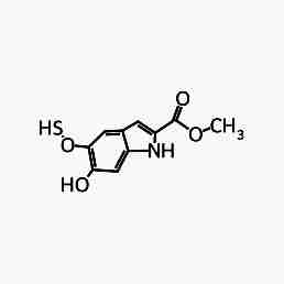 COC(=O)c1cc2cc(OS)c(O)cc2[nH]1